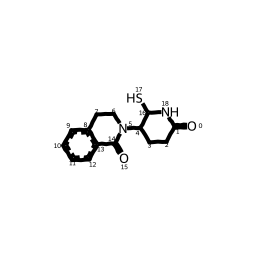 O=C1CCC(N2CCc3ccccc3C2=O)C(S)N1